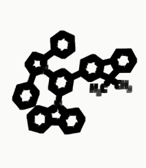 CC1(C)c2ccccc2-c2ccc(-c3cc(-n4c(-c5ccccc5)ccc4-c4ccccc4)cc(-n4c5ccccc5c5ccccc54)c3)cc21